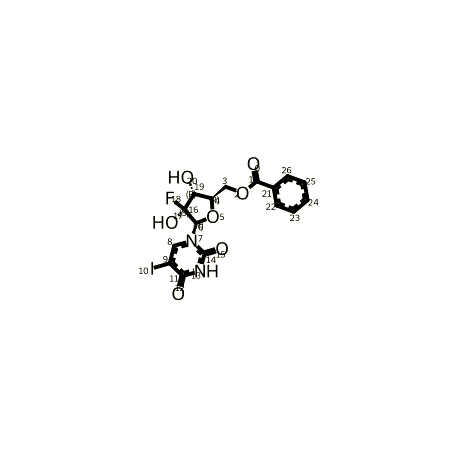 O=C(OC[C@H]1O[C@@H](n2cc(I)c(=O)[nH]c2=O)[C@@](O)(F)[C@@H]1O)c1ccccc1